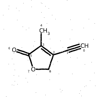 C#CC1=C(C)C(=O)OC1